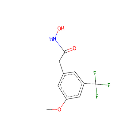 COc1cc(CC(=O)NO)cc(C(F)(F)F)c1